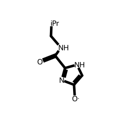 CC(C)CNC(=O)c1nc([O])c[nH]1